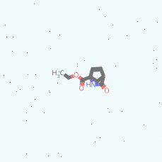 CCOC(=O)C12C=CC(C1)C(=O)N2